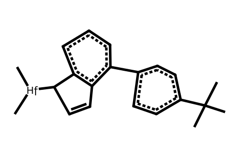 [CH3][Hf]([CH3])[CH]1C=Cc2c(-c3ccc(C(C)(C)C)cc3)cccc21